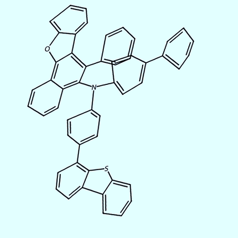 c1ccc(-c2ccc(N(c3ccc(-c4cccc5c4sc4ccccc45)cc3)c3c(-c4ccccc4)c4c5ccccc5oc4c4ccccc34)cc2)cc1